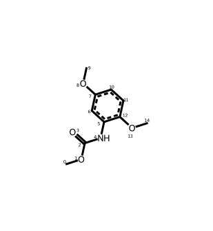 COC(=O)Nc1cc(OC)ccc1OC